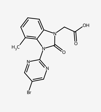 Cc1cccc2c1n(-c1ncc(Br)cn1)c(=O)n2CC(=O)O